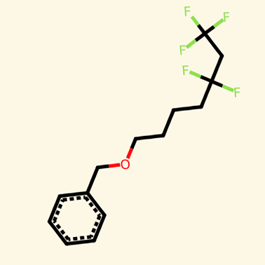 FC(F)(F)CC(F)(F)CCCCOCc1ccccc1